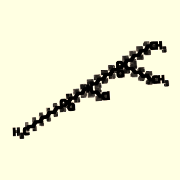 CCCCCCCCCCCOC(=O)CCCCCN(CCCCl)CCCCCCCC(=O)OC(CCCCCCCC)CCCCCCCC